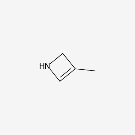 CC1=CNC1